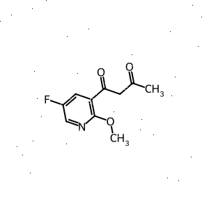 COc1ncc(F)cc1C(=O)CC(C)=O